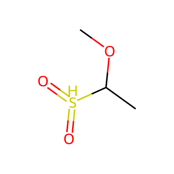 COC(C)[SH](=O)=O